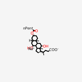 CCCCCC(=O)O[C@@H]1CC[C@]2(C)C3C[C@H](O)[C@@]4(C)C(CC[C@@H]4[C@H](C)CCC(=O)[O-])C3[C@H](O)C[C@@H]2C1.[Na+]